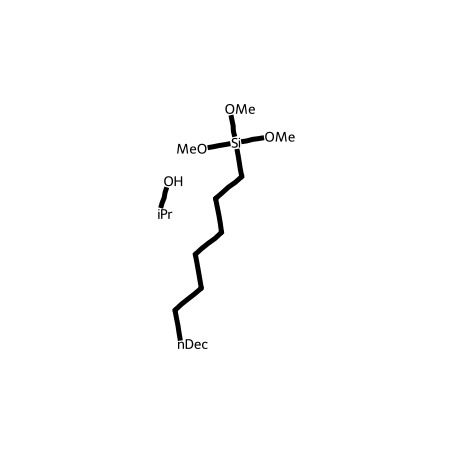 CC(C)O.CCCCCCCCCCCCCCCC[Si](OC)(OC)OC